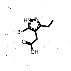 CCc1n[nH]c(Br)c1CC(=O)O